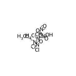 COCCCCn1c(C(=O)N(CC(C)C)[C@H]2C[C@@H](C(=O)N3CCOCC3)CN(C(=O)O)C2)nc2c(Cl)cccc21